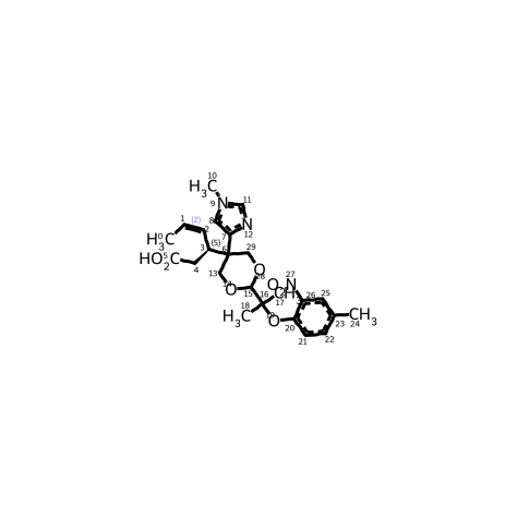 C/C=C\[C@H](CC(=O)O)C1(c2cn(C)cn2)COC(C(C)(C)Oc2ccc(C)cc2[N+](=O)[O-])OC1